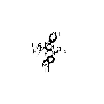 CCN(c1ccc2[nH]ncc2c1)c1nc(N2C3CCC2CNC3)nc(N(C)C)c1F